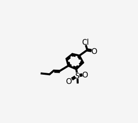 CCC=Cc1ccc(C(=O)Cl)cc1S(C)(=O)=O